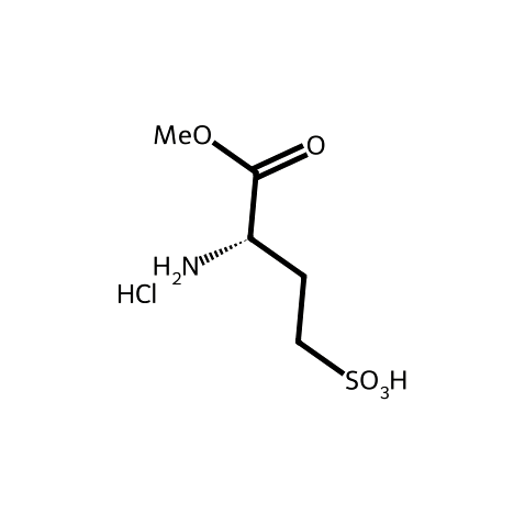 COC(=O)[C@@H](N)CCS(=O)(=O)O.Cl